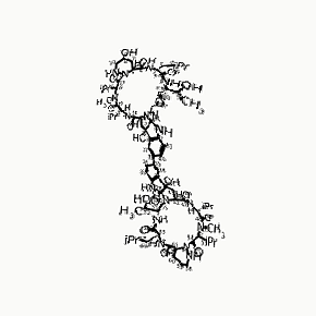 CC(C)C[C@@H]1NC(=O)[C@H]2C[C@@H](O)CNN2C(=O)C(C(C)C)N(C)C(=O)[C@@H](C(C)C)NC(=O)[C@@H]2C[C@@]3(O)c4cc(-c5ccc6c(c5)[C@]5(O)C[C@H]7C(=O)N[C@H](C(C)C)C(=O)N(C)C(C(C)C)C(=O)N8NCCC[C@@H]8C(=O)N[C@@H](CC(C)C)C(=O)N[C@H]([C@H](C)O)C(=O)N7[C@@H]5N6)ccc4N[C@H]3N2COC[C@@H]([C@H](C)O)NC1=O